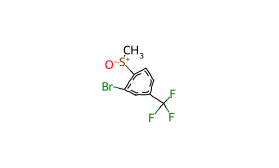 C[S+]([O-])c1ccc(C(F)(F)F)cc1Br